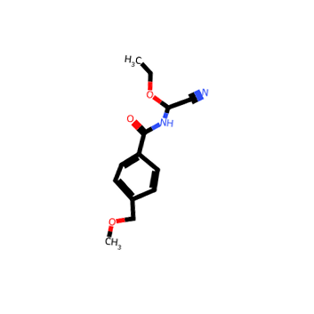 CCOC(C#N)NC(=O)c1ccc(COC)cc1